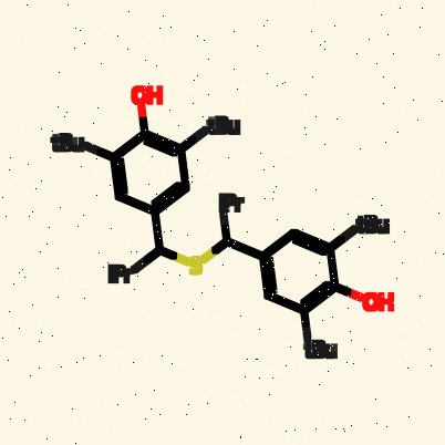 CC(C)C(SC(c1cc(C(C)(C)C)c(O)c(C(C)(C)C)c1)C(C)C)c1cc(C(C)(C)C)c(O)c(C(C)(C)C)c1